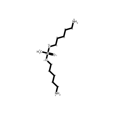 CP(=O)(OCCCCCN)OCCCCCN